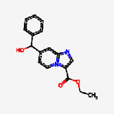 CCOC(=O)c1cnc2cc(C(O)c3ccccc3)ccn12